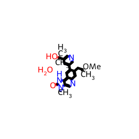 CO[C@@H](C)Cc1cc2ncc3c([nH]c(=O)n3C)c2cc1-c1cncc(C(C)(C)O)c1.O